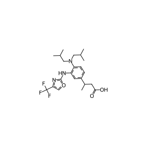 CC(C)CN(CC(C)C)c1ccc(C(C)CC(=O)O)cc1Nc1nc(C(F)(F)F)co1